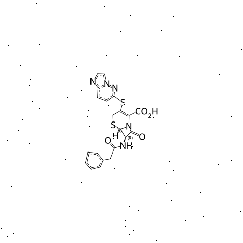 O=C(Cc1ccccc1)N[C@@H]1C(=O)N2C(C(=O)O)=C(Sc3ccc4nccn4n3)CS[C@H]12